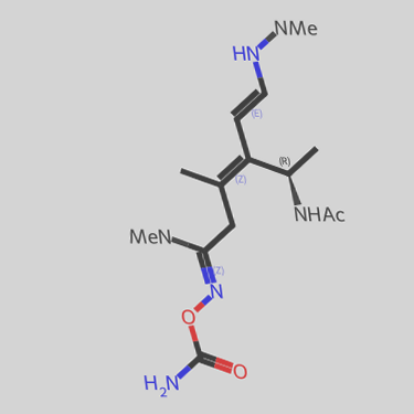 CNN/C=C/C(=C(\C)C/C(=N/OC(N)=O)NC)[C@@H](C)NC(C)=O